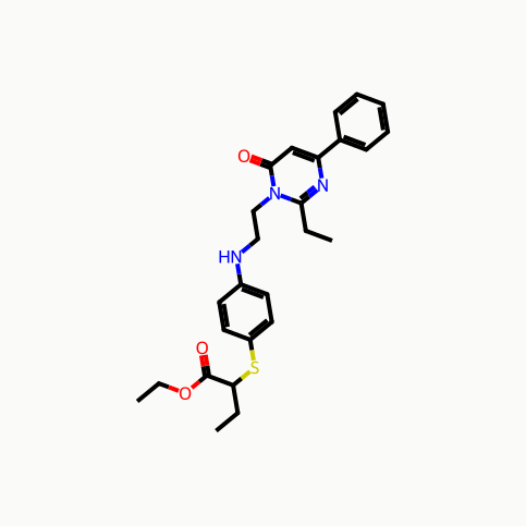 CCOC(=O)C(CC)Sc1ccc(NCCn2c(CC)nc(-c3ccccc3)cc2=O)cc1